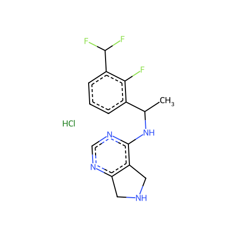 CC(Nc1ncnc2c1CNC2)c1cccc(C(F)F)c1F.Cl